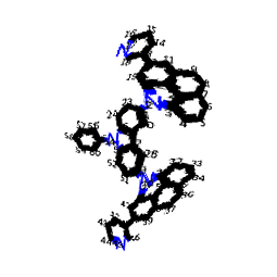 C1=C(n2c3cccc4ccc5cc(-c6cccnc6)cc2c5c43)CCc2c1c1cc(-n3c4cccc5ccc6cc(-c7cccnc7)cc3c6c54)ccc1n2-c1ccccc1